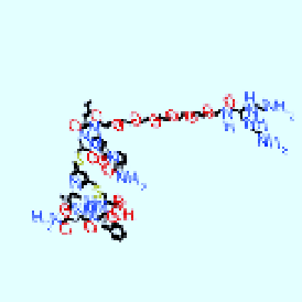 CCCC[C@H](NC(=O)CCOCCOCCOCCOCCOCCOCCNC(=O)C(CNCCN)CNCCN)C(=O)N=CC(CSCc1cncc(CSC[C@H](NC(=O)[C@H](Cc2ccccc2)NC(=O)[C@H](CCC(N)=O)NC(=O)[C@@H](C)CC)C(=O)O)c1)C(=O)N1CCC[C@H]1C(=O)N1CCC[C@H]1C(N)=O